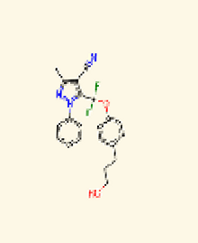 Cc1nn(-c2ccccc2)c(C(F)(F)Oc2ccc(CCCO)cc2)c1C#N